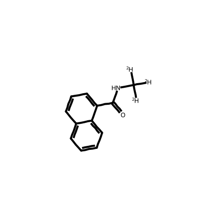 [2H]C([2H])([2H])NC(=O)c1cccc2ccccc12